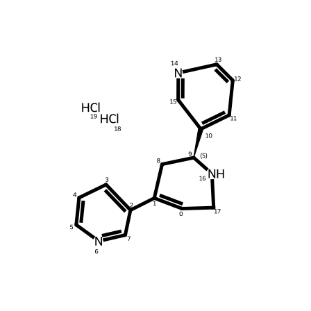 C1=C(c2cccnc2)C[C@@H](c2cccnc2)NC1.Cl.Cl